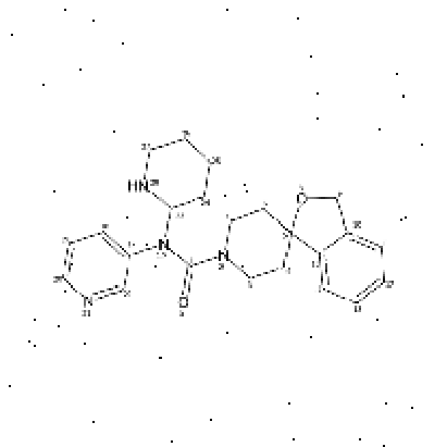 O=C(N1CCC2(CC1)OCc1ccccc12)N(c1cccnc1)C1CCCCN1